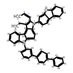 C=Cc1c(/C=C\C)n(-c2ccc3c(c2)oc2ccccc23)c2ccc3c(c4ccccc4n3-c3cccc(-c4ccc(-c5ccccc5)cc4)c3)c12